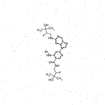 CC(C)Nc1cc(-n2cnc3cnc(NCC(F)C(C)(C)O)nc32)ncc1C(=O)NCC(F)C(C)(C)O